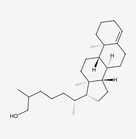 CC(CO)CCC[C@@H](C)[C@H]1CC[C@H]2[C@@H]3CCC4=CCCC[C@]4(C)[C@H]3CC[C@]12C